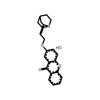 Cl.O=c1c2ccccc2oc2ccc(OCC=C3CC4CCN3CC4)cc12